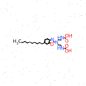 CCCCCCCCCCc1ccc2nc(N(CCNC(=O)O)CCNC(=O)O)oc2c1